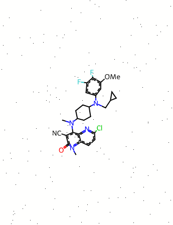 COc1cc(N(CC2CC2)C2CCC(N(C)c3c(C#N)c(=O)n(C)c4ccc(Cl)nc34)CC2)cc(F)c1F